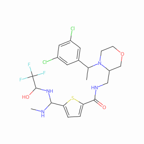 CNC(NC(O)C(F)(F)F)c1ccc(C(=O)NCC2COCCN2C(C)c2cc(Cl)cc(Cl)c2)s1